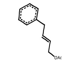 CC(=O)OCC=CCc1ccccc1